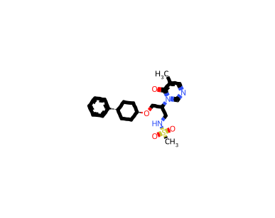 Cc1cncn(C(CNS(C)(=O)=O)CO[C@H]2CC[C@@H](c3ccccc3)CC2)c1=O